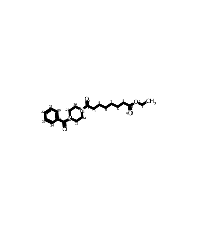 CCOC(=O)CCCCCCC(=O)N1CCN(C(=O)c2ccccc2)CC1